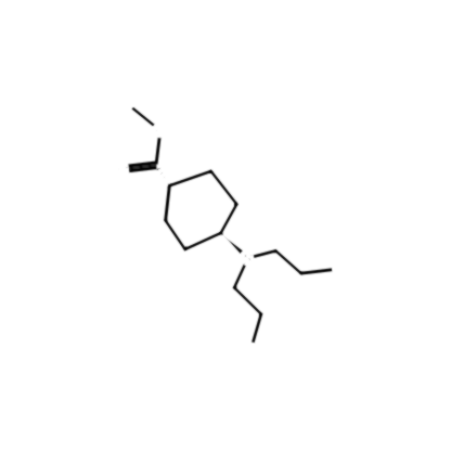 CCCN(CCC)[C@H]1CC[C@H](C(=O)OC)CC1